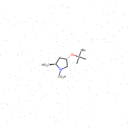 CC(C)(C)[Si](C)(C)O[C@H]1C[C@H](C(=O)O)N(C(=O)O)C1